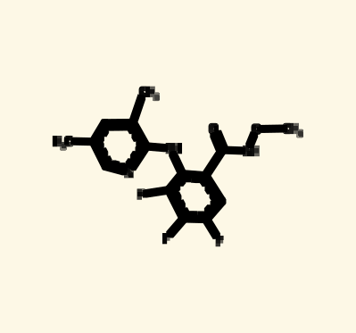 CONC(=O)c1cc(F)c(F)c(F)c1Nc1ncc(C)cc1C